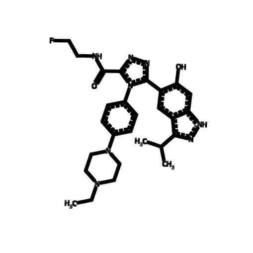 CCN1CCN(c2ccc(-n3c(C(=O)NCCF)nnc3-c3cc4c(C(C)C)n[nH]c4cc3O)cc2)CC1